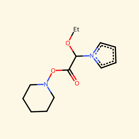 CCOC(C(=O)ON1CCCCC1)n1cccc1